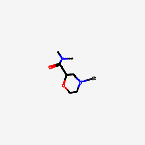 CCN1CCOC(C(=O)N(C)C)C1